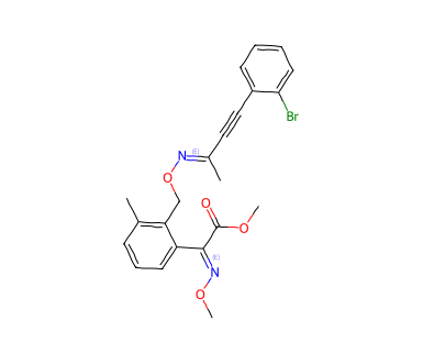 CO/N=C(/C(=O)OC)c1cccc(C)c1CO/N=C(\C)C#Cc1ccccc1Br